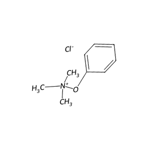 C[N+](C)(C)Oc1ccccc1.[Cl-]